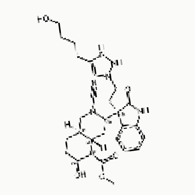 COC(=O)[C@@H]1[C@H]2C[C@@H]([C@@]3(CCN4C=C(CCCCO)NN4)C(=O)Nc4ccccc43)N(C#N)C[C@@H]2CC[C@@H]1O